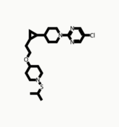 CC(C)SN1CCC(OCCC2CC2C2CCN(c3ncc(Cl)cn3)CC2)CC1